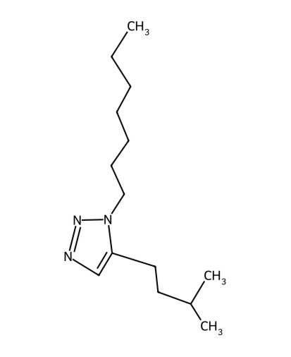 CCCCCCCn1nncc1CCC(C)C